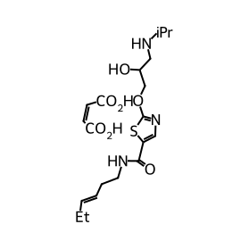 CC/C=C/CCNC(=O)c1cnc(OCC(O)CNC(C)C)s1.O=C(O)/C=C\C(=O)O